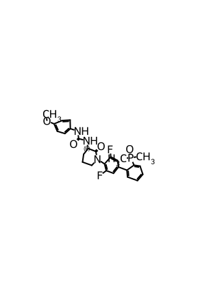 COc1ccc(NC(=O)N[C@@H]2CCCN(c3c(F)cc(-c4ccccc4P(C)(C)=O)cc3F)C2=O)cc1